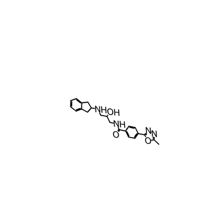 Cc1nnc(-c2ccc(C(=O)NC[C@H](O)CNC3Cc4ccccc4C3)cc2)o1